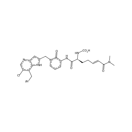 CC(C)Cc1c(Cl)cnc2cc(Cn3cccc(NC(=O)[C@H](CC/C=C/C(=O)N(C)C)NC(=O)O)c3=O)[nH]c12